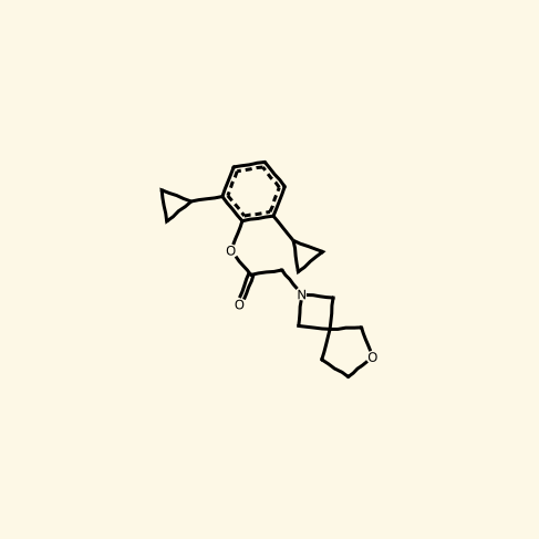 O=C(CN1CC2(CCOC2)C1)Oc1c(C2CC2)cccc1C1CC1